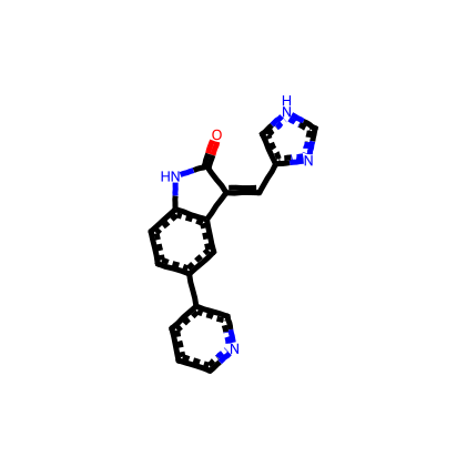 O=C1Nc2ccc(-c3cccnc3)cc2C1=Cc1c[nH]cn1